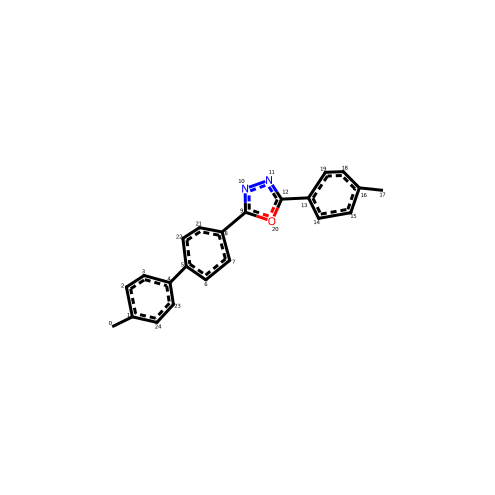 Cc1ccc(-c2ccc(-c3nnc(-c4ccc(C)cc4)o3)cc2)cc1